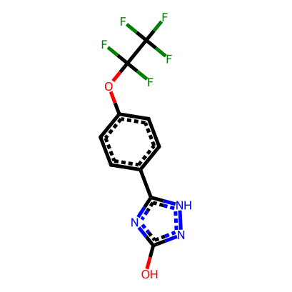 Oc1n[nH]c(-c2ccc(OC(F)(F)C(F)(F)F)cc2)n1